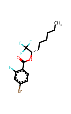 CCCCCC[C@H](OC(=O)c1ccc(Br)cc1F)C(F)(F)F